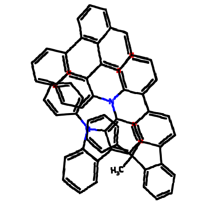 CC1(c2ccccc2)c2ccccc2-c2ccc(-c3ccccc3N(c3ccccc3-c3cccc4cccc(-c5ccccc5)c34)c3cccc4c5ccccc5n(-c5ccccc5)c34)cc21